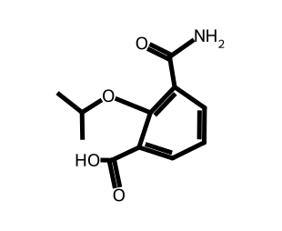 CC(C)Oc1c(C(N)=O)cccc1C(=O)O